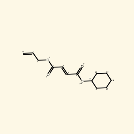 C=CCOC(=O)C=CC(=O)OC1CCCCC1